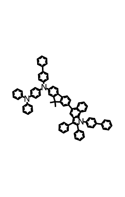 CC1(C)c2cc(-c3cc4c(-c5ccccc5)c(-c5ccccc5)n(-c5ccc(-c6ccccc6)cc5)c4c4ccccc34)ccc2-c2ccc(N(c3ccc(-c4ccccc4)cc3)c3ccc(N(c4ccccc4)c4ccccc4)cc3)cc21